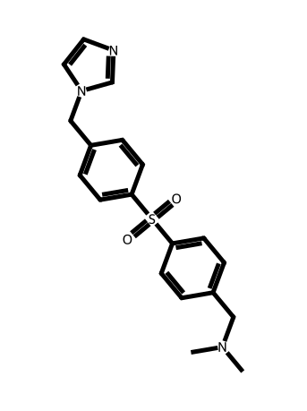 CN(C)Cc1ccc(S(=O)(=O)c2ccc(Cn3ccnc3)cc2)cc1